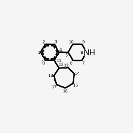 [c]1cccc(C2CCNCC2)c1C1CCCCCC1